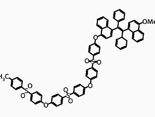 COc1ccc(/C(=C(\c2ccccc2)c2ccc(Oc3ccc(S(=O)(=O)c4ccc(Oc5ccc(S(=O)(=O)c6ccc(Oc7ccc(S(=O)(=O)c8ccc(C)cc8)cc7)cc6)cc5)cc4)cc3)c3ccccc23)C2C=CC=CC2)c2ccccc12